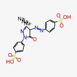 O=C1C(N=Nc2ccc(S(=O)(=O)O)cc2)C=NN1c1ccc(S(=O)(=O)O)cc1.[Na].[Na].[Na]